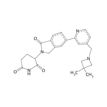 CC1(C)CN(Cc2ccnc(-c3ccc4c(c3)CN(C3CCC(=O)NC3=O)C4=O)c2)C1